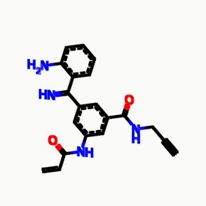 C#CCNC(=O)c1cc(NC(=O)C=C)cc(C(=N)c2ccccc2N)c1